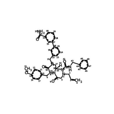 C=CCN1CC(=O)N2[C@@H](Cc3ccc(OC)cc3)C(=O)N(Cc3cccc(-c4cccc(C(N)=O)c4)c3)C[C@@H]2N1C(=O)NCc1ccccc1